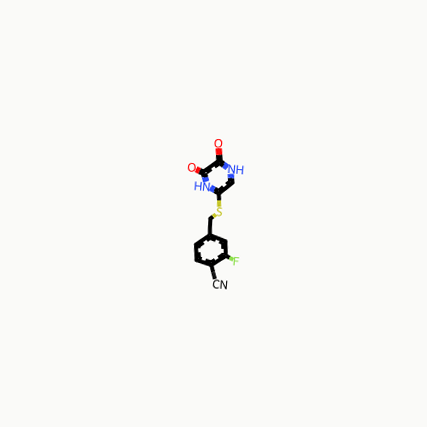 N#Cc1ccc(CSc2c[nH]c(=O)c(=O)[nH]2)cc1F